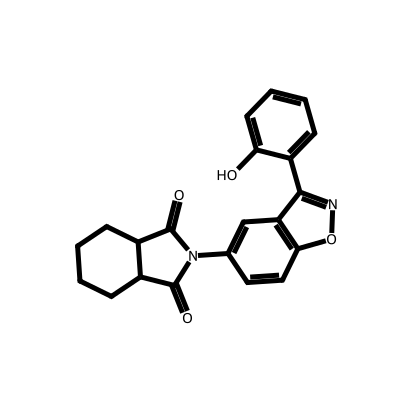 O=C1C2CCCCC2C(=O)N1c1ccc2onc(-c3ccccc3O)c2c1